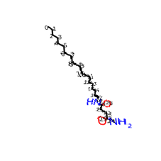 CCCCCCCCCCCCCCCCC=CNC(=O)CCC(N)=O